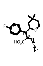 CC1(C)CCOC([C@H](c2ccc(F)cc2)[C@@H](N=[N+]=[N-])C(=O)O)C1